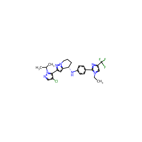 CCn1cc(C(F)(F)F)nc1-c1ccc(N[C@H]2CCCn3nc(-c4c(Cl)cnn4C(C)C)cc32)cc1